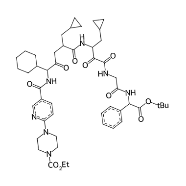 CCOC(=O)N1CCN(c2ccc(C(=O)NC(C(=O)CC(CC3CC3)C(=O)NC(CC3CC3)C(=O)C(=O)NCC(=O)NC(C(=O)OC(C)(C)C)c3ccccc3)C3CCCCC3)cn2)CC1